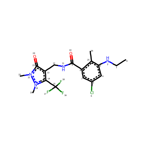 CCNc1cc(Cl)cc(C(=O)NCc2c(C(F)(F)F)n(C)n(C)c2=O)c1C